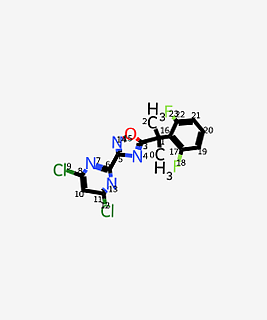 CC(C)(c1nc(-c2nc(Cl)cc(Cl)n2)no1)c1c(F)cccc1F